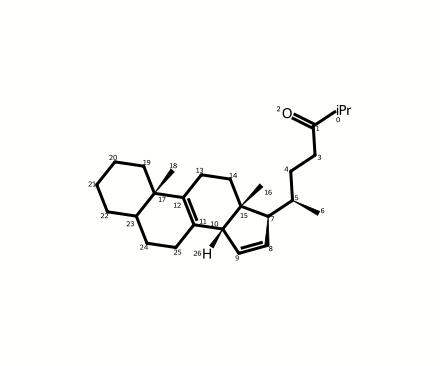 CC(C)C(=O)CC[C@@H](C)[C@H]1C=C[C@@H]2C3=C(CC[C@@]21C)[C@@]1(C)CCCCC1CC3